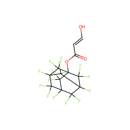 O=C(C=CO)OC12C(F)(F)C3(F)C(F)(F)C(F)(C(F)(F)C(F)(C3(F)F)C1(F)F)C2(F)F